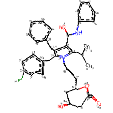 CC(C)c1c(C(O)Nc2ccccc2)c(-c2ccccc2)c(-c2ccc(F)cc2)n1CC[C@@H]1C[C@H](O)CC(=O)O1